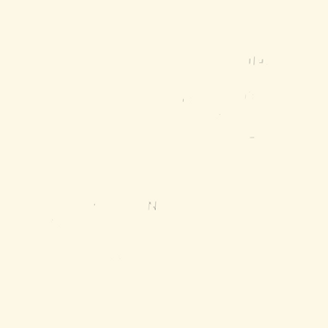 CC(C)(C)OC(=O)N1CCC[C@](F)(C(=O)OC(C)(C)C)CC1